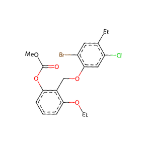 CCOc1cccc(OC(=O)OC)c1COc1cc(Cl)c(CC)cc1Br